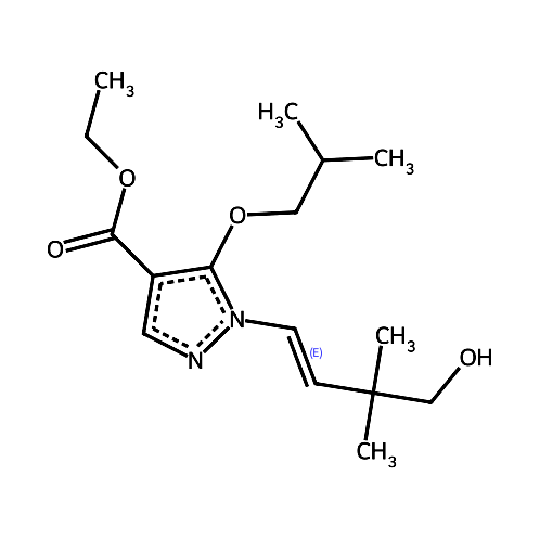 CCOC(=O)c1cnn(/C=C/C(C)(C)CO)c1OCC(C)C